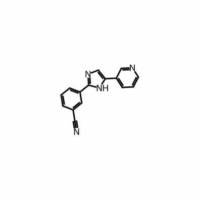 N#Cc1cccc(-c2ncc(-c3cccnc3)[nH]2)c1